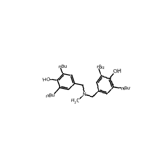 CCCCc1cc(CN(C)Cc2cc(CCCC)c(O)c(CCCC)c2)cc(CCCC)c1O